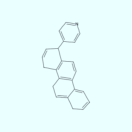 C1=CCC2=CCc3c(ccc4c3CC=CC4c3ccncc3)C2=C1